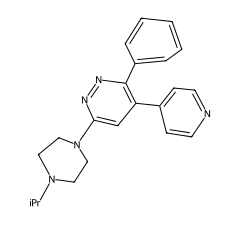 CC(C)N1CCN(c2cc(-c3ccncc3)c(-c3ccccc3)nn2)CC1